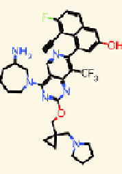 C#Cc1c(F)ccc2cc(O)cc(-c3ncc4c(N5CCCCC(N)C5)nc(OCC5(CN6CCCC6)CC5)nc4c3C(F)(F)F)c12